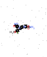 COc1ccc(-c2cc3cc(N4CCC(OC(N)=O)CC4)ccc3n2-c2ccc(C(N)=O)cc2)cc1F